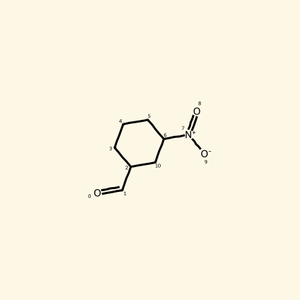 O=CC1CCCC([N+](=O)[O-])C1